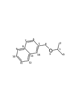 CC(C)OCc1ccc2ccccc2c1